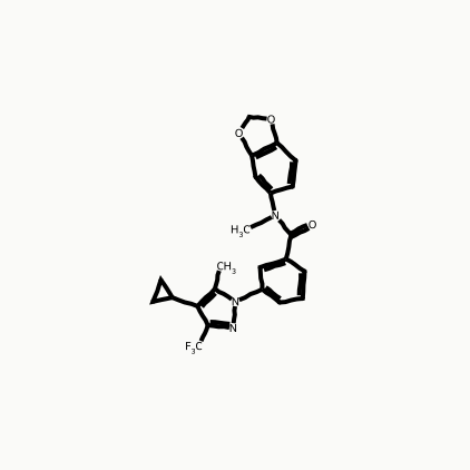 Cc1c(C2CC2)c(C(F)(F)F)nn1-c1cccc(C(=O)N(C)c2ccc3c(c2)OCO3)c1